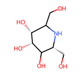 OCC1N[C@H](CO)C(O)[C@H](O)[C@@H]1O